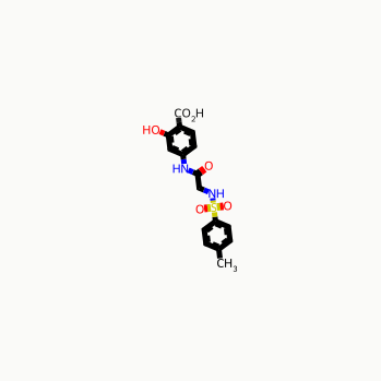 Cc1ccc(S(=O)(=O)NCC(=O)Nc2ccc(C(=O)O)c(O)c2)cc1